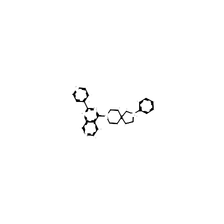 c1ccc(N2CCC3(CCN(c4nc(-c5ccncc5)nc5cnccc45)CC3)C2)cc1